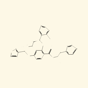 Cc1ccccc1[C@H](CCC(=O)O)Oc1cc(OCc2ccsc2)ccc1C(=O)N[C@H](Cc1ccccc1)C(=O)O